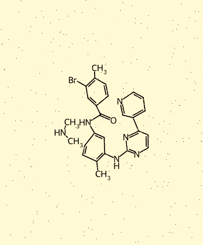 CNC.Cc1ccc(C(=O)Nc2ccc(C)c(Nc3nccc(-c4cccnc4)n3)c2)cc1Br